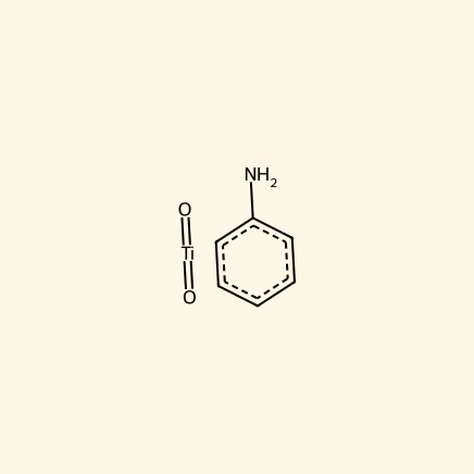 Nc1ccccc1.[O]=[Ti]=[O]